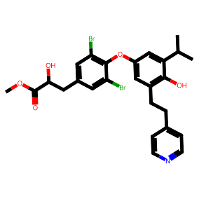 COC(=O)C(O)Cc1cc(Br)c(Oc2cc(CCc3ccncc3)c(O)c(C(C)C)c2)c(Br)c1